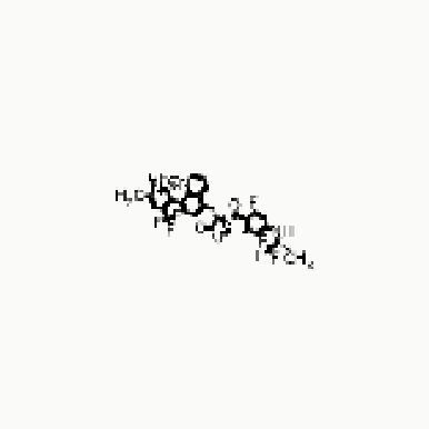 CC[C@@H](Nc1cc(F)c(C(=O)N2COC(=O)[C@@H]2Cc2ccc(-c3c(C(F)(F)F)cc(C)n(C)c3=O)c3ncccc23)c(F)c1)C(F)(F)F